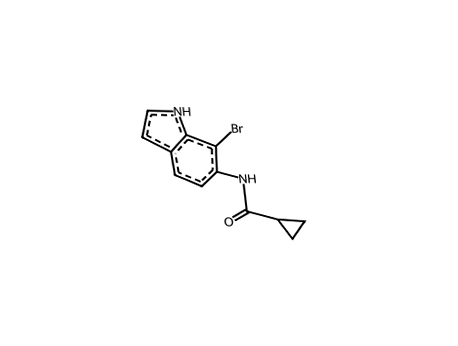 O=C(Nc1ccc2cc[nH]c2c1Br)C1CC1